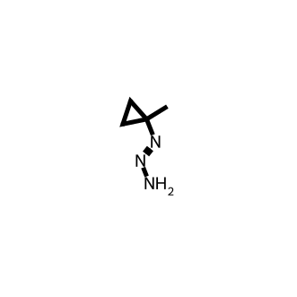 CC1(N=NN)CC1